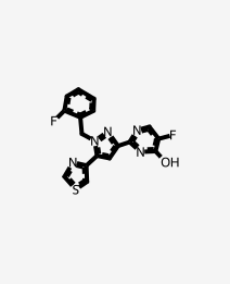 Oc1nc(-c2cc(-c3cscn3)n(Cc3ccccc3F)n2)ncc1F